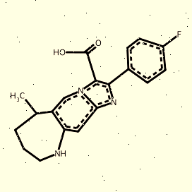 CC1CCCNc2cc3nc(-c4ccc(F)cc4)c(C(=O)O)n3cc21